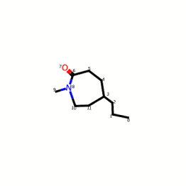 CCCC1CCC(=O)N(C)CC1